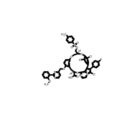 COc1ccccc1-c1nccc(COc2ccc3cc2C[C@H](C(=O)O)Oc2nccn4c(Cl)c(-c5ccc(F)cc5)c(c24)-c2cc(Cl)c(c(Cl)c2)O[C@H](COS(=O)(=O)c2ccc(C)cc2)CO3)n1